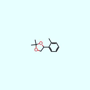 Cc1ccccc1C1COC(C)(C)O1